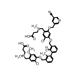 COc1cc(OCc2cccc(-c3cccc(COc4cc(OCc5cncc(C#N)c5)c(CN(C)CCC(=O)O)cc4Cl)c3C)c2C)c(Cl)cc1CN(C)CCC(=O)O